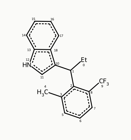 CCC(c1c(C)cccc1C(F)(F)F)c1c[nH]c2ccccc12